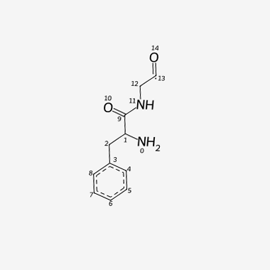 NC(Cc1ccccc1)C(=O)NC[C]=O